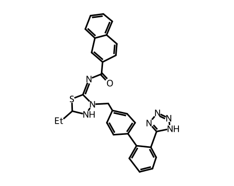 CCC1NN(Cc2ccc(-c3ccccc3-c3nnn[nH]3)cc2)C(=NC(=O)c2ccc3ccccc3c2)S1